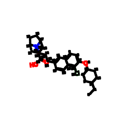 CCC1CCC(Oc2ccc3cc(CCCN4C5CCC4CC(C(=O)O)C5)ccc3c2Cl)CC1